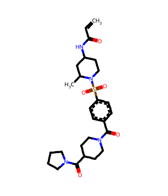 C=CC(=O)NC1CCN(S(=O)(=O)c2ccc(C(=O)N3CCC(C(=O)N4CCCC4)CC3)cc2)C(C)C1